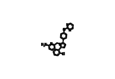 Nc1cccc(Cn2c(-c3ccc(Oc4ncccn4)cc3)ccc2-c2ccccc2Cl)n1